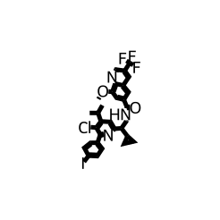 COc1cc(C(=O)NCC(c2cc(C(C)C)c(Cl)c(-c3ccc(I)cc3)n2)C2CC2)cc2cc(C(F)(F)F)cnc12